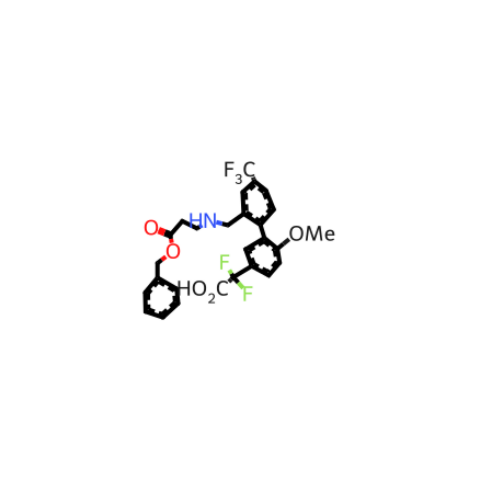 COc1ccc(C(F)(F)C(=O)O)cc1-c1ccc(C(F)(F)F)cc1CNCCC(=O)OCc1ccccc1